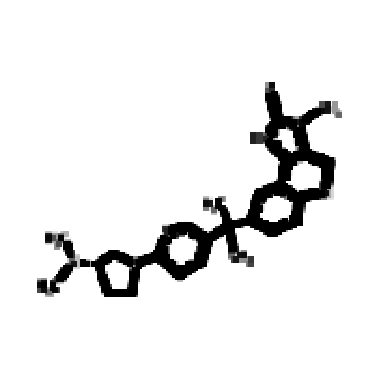 CN(C)[C@H]1CCN(c2ccc(C(C)(C)c3ccc4ncc5c([nH]c(=O)n5C)c4c3)cn2)C1